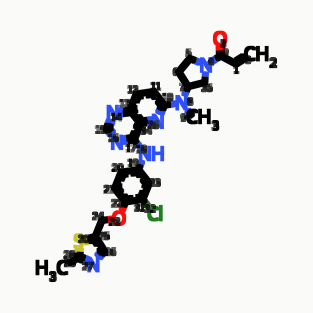 C=CC(=O)N1CCC(N(C)c2ccc3ncnc(Nc4ccc(OCc5cnc(C)s5)c(Cl)c4)c3n2)C1